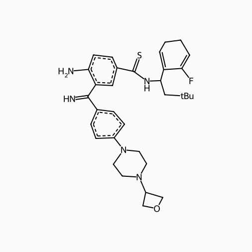 CC(C)(C)CC(NC(=S)c1ccc(N)c(C(=N)c2ccc(N3CCN(C4COC4)CC3)cc2)c1)C1=CCCC=C1F